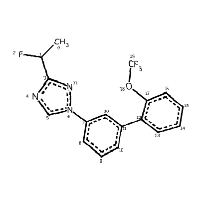 CC(F)c1ncn(-c2cccc(-c3ccccc3OC(F)(F)F)c2)n1